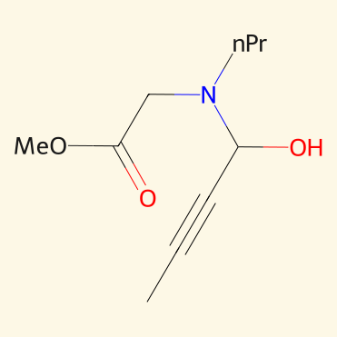 CC#CC(O)N(CCC)CC(=O)OC